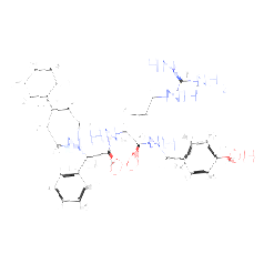 N=C(N)NCCC[C@@H](NC(=O)C(c1ccccc1)N1CCC(C2CCCCC2)CC1)C(=O)NCc1ccc(O)cc1